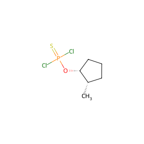 C[C@H]1CCC[C@H]1OP(=S)(Cl)Cl